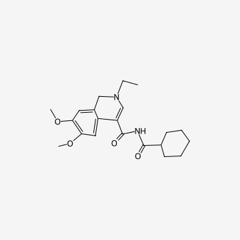 CCN1C=C(C(=O)NC(=O)C2CCCCC2)c2cc(OC)c(OC)cc2C1